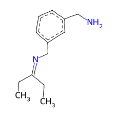 CCC(CC)=NCc1cccc(CN)c1